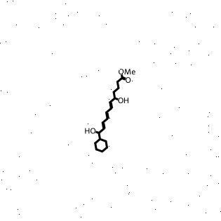 COC(=O)CCCC(O)C=CC=CC=CC(O)C1CCCCC1